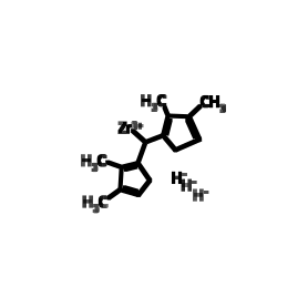 CC1=CCC([CH]([Zr+3])C2=C(C)C(C)=CC2)=C1C.[H-].[H-].[H-]